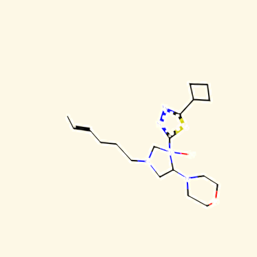 CC=CCCCN1CC(N2CCOCC2)[N+]([O-])(c2nnc(C3CCC3)s2)C1